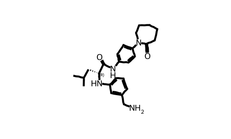 CC(C)C[C@@H](Nc1cccc(CN)c1)C(=O)Nc1ccc(N2CCCCCC2=O)cc1